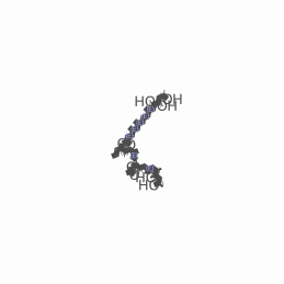 CCCC(OC(=O)/C=C/C(C)=C/C(C)=C/C=C/C(C)=C/[C@H](O)[C@@H](O)C[C@H](C)O)[C@@H](C)C/C(C)=C/C[C@@H](OC(C)=O)[C@@H](C)C/C(C)=C/[C@@H](C)[C@H](O)C[C@@H](C)O